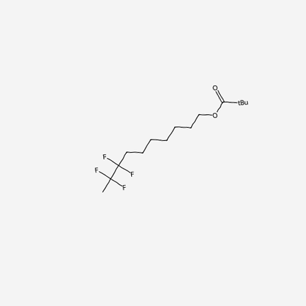 CC(C)(C)C(=O)OCCCCCCCC(F)(F)C(C)(F)F